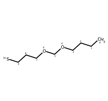 CCCCOCOCCC[S]